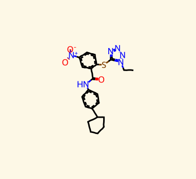 CCn1nnnc1Sc1ccc([N+](=O)[O-])cc1C(=O)Nc1ccc(C2CCCCC2)cc1